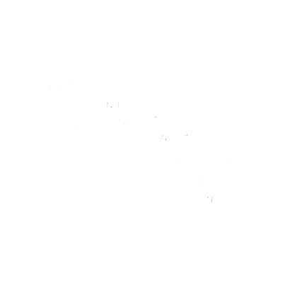 CC1CC[C@@]1(NC(=O)CNC(=O)OC(C)(C)C)C(=O)C(N)=O